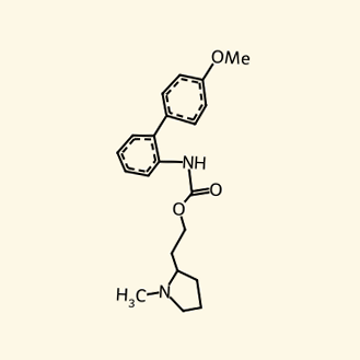 COc1ccc(-c2ccccc2NC(=O)OCCC2CCCN2C)cc1